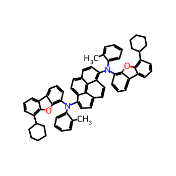 Cc1ccccc1N(c1ccc2ccc3c(N(c4ccccc4C)c4cccc5c4oc4c(C6CCCCC6)cccc45)ccc4ccc1c2c43)c1cccc2c1oc1c(C3CCCCC3)cccc12